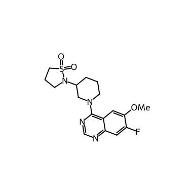 COc1cc2c(N3CCCC(N4CCCS4(=O)=O)C3)ncnc2cc1F